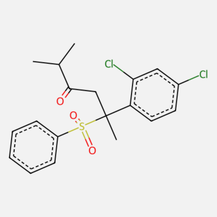 CC(C)C(=O)CC(C)(c1ccc(Cl)cc1Cl)S(=O)(=O)c1ccccc1